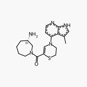 Cc1c[nH]c2nccc(N3C=C(C(=O)N4CCCC[C@H](N)C4)SCC3)c12